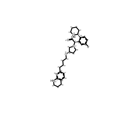 O=C(O)[C@@H](c1cc(F)ccc1[C@@H]1CCCCO1)N1CC[C@@H](OCCCCc2ccc3c(n2)NCCC3)C1